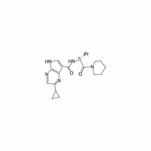 CC(C)[C@@H](NC(=O)c1c[nH]c2ncc(C3CC3)nc12)C(=O)N1CCCCC1